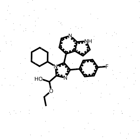 CCOC(O)c1nc(-c2ccc(F)cc2)c(-c2ccnc3[nH]ccc23)n1C1CCCCC1